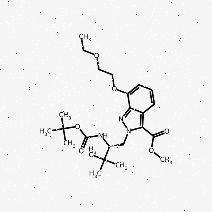 CCOCCOc1cccc2c(C(=O)OC)n(C[C@H](NC(=O)OC(C)(C)C)C(C)(C)C)nc12